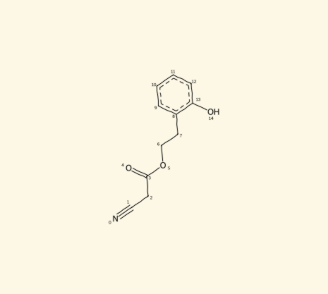 N#CCC(=O)OCCc1ccccc1O